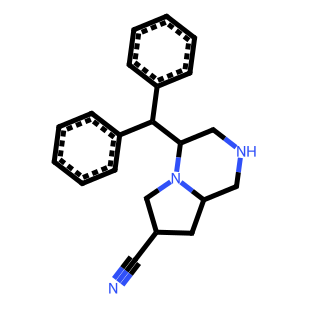 N#CC1CC2CNCC(C(c3ccccc3)c3ccccc3)N2C1